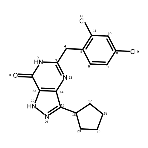 O=c1[nH]c(Cc2ccc(Cl)cc2Cl)nc2c(C3CCCC3)n[nH]c12